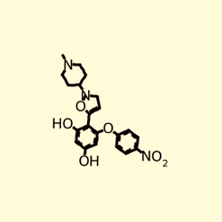 CN1CCC(N2CC=C(c3c(O)cc(O)cc3Oc3ccc([N+](=O)[O-])cc3)O2)CC1